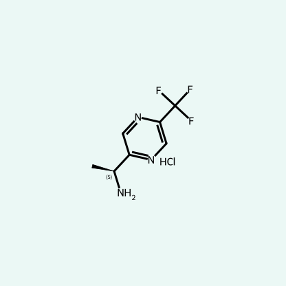 C[C@H](N)c1cnc(C(F)(F)F)cn1.Cl